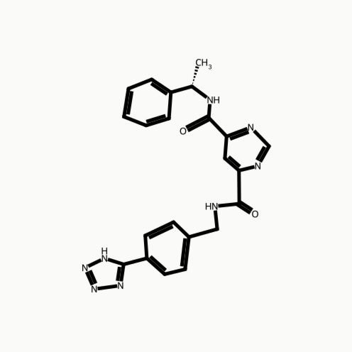 C[C@H](NC(=O)c1cc(C(=O)NCc2ccc(-c3nnn[nH]3)cc2)ncn1)c1ccccc1